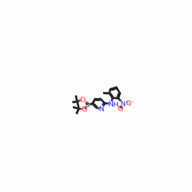 Cc1cccc([N+](=O)[O-])c1Nc1ccc(B2OC(C)(C)C(C)(C)O2)cn1